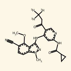 [2H]C([2H])([2H])CC(=O)c1cnc(NC(=O)C2CC2)cc1Nc1nn(C)c2ccc(C#N)c(OC)c12